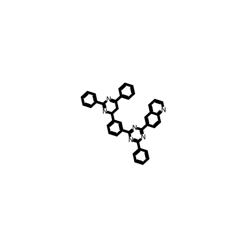 c1ccc(C2=NC(c3ccccc3)=NC(c3cccc(-c4nc(-c5ccccc5)nc(-c5ccc6ncccc6c5)n4)c3)C2)cc1